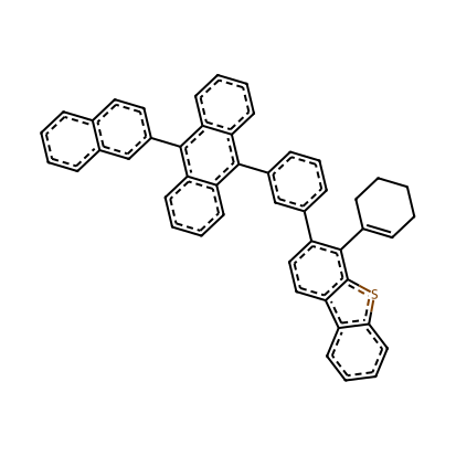 C1=C(c2c(-c3cccc(-c4c5ccccc5c(-c5ccc6ccccc6c5)c5ccccc45)c3)ccc3c2sc2ccccc23)CCCC1